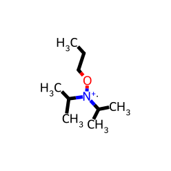 CCCO[N+](C(C)C)C(C)C